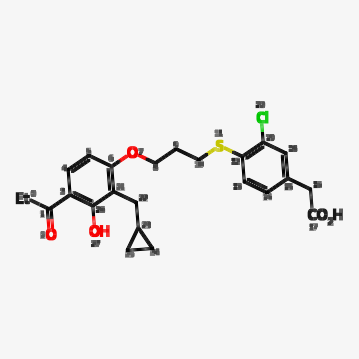 CCC(=O)c1ccc(OCCCSc2ccc(CC(=O)O)cc2Cl)c(CC2CC2)c1O